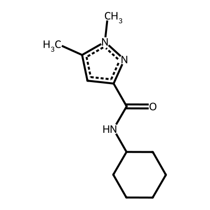 Cc1cc(C(=O)NC2CCCCC2)nn1C